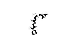 Cc1oc(=O)oc1COC(O)/C=C/C(=O)OCC(=O)C(=O)N1CCOCC1